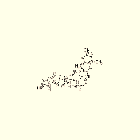 CCOC(=O)CC(NC(=O)Cc1c(C)cc(C)cc1C)c1cccc(NS(=O)(=O)c2cccc(NC(=N)N)c2)c1